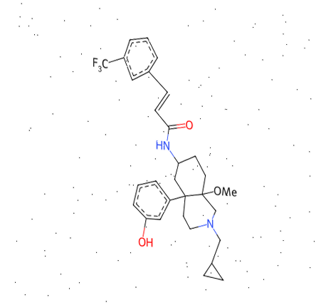 COC12CCC(NC(=O)/C=C/c3cccc(C(F)(F)F)c3)CC1(c1cccc(O)c1)CCN(CC1CC1)C2